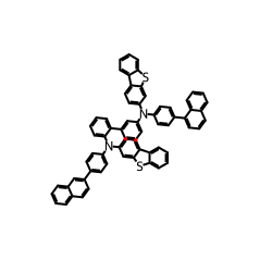 c1cc(-c2ccccc2N(c2ccc(-c3ccc4ccccc4c3)cc2)c2ccc3c(c2)sc2ccccc23)cc(N(c2ccc(-c3cccc4ccccc34)cc2)c2ccc3c(c2)sc2ccccc23)c1